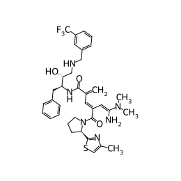 C=C(/C=C(\C=C(/N)N(C)C)C(=O)N1CCC[C@@H]1c1nc(C)cs1)C(=O)N[C@@H](Cc1ccccc1)[C@H](O)CNCc1cccc(C(F)(F)F)c1